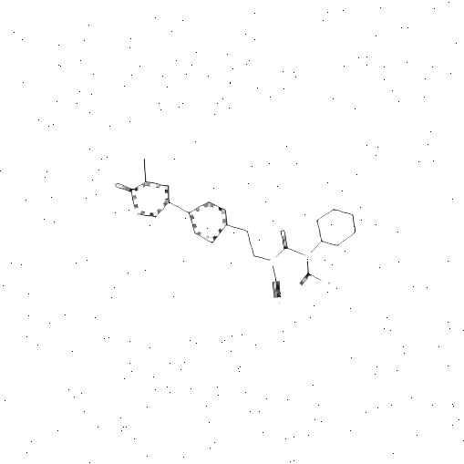 Cc1cc(-c2ccc(CCN(C#N)C(=O)N(C(=O)O)C3CCCCC3)cc2)c[nH]c1=O